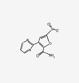 NC(=O)c1oc([N+](=O)[O-])cc1-c1ncccn1